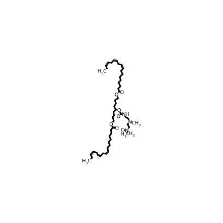 CC/C=C\C/C=C\C/C=C\CCCCCCCC(=O)OCCCCC(CCCCOC(=O)CCCCCCC/C=C\C/C=C\C/C=C\CC)OC(=O)NCCN(C)CCN(C)C